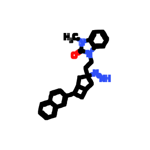 Cn1c(=O)n(CCC2(N=N)CC3CC(c4ccc5ccccc5c4)C3C2)c2ccccc21